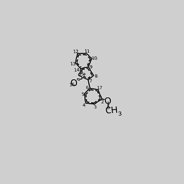 COc1cccc(-c2cc3ccccc3[s+]2[O-])c1